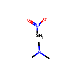 CN(C)C.O=[N+]([O-])[SiH3]